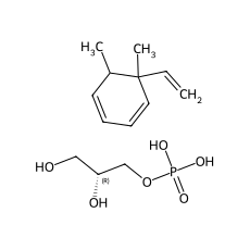 C=CC1(C)C=CC=CC1C.O=P(O)(O)OC[C@H](O)CO